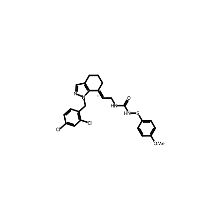 COc1ccc(SNC(=O)NC/C=C2\CCCc3cnn(Cc4ccc(Cl)cc4Cl)c32)cc1